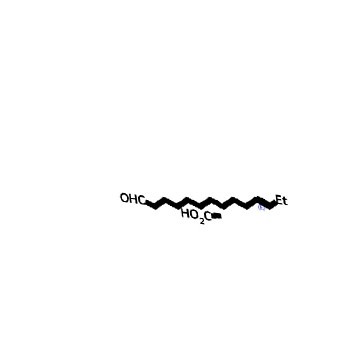 CC(=O)O.CC/C=C/CCCCCCCCCC=O